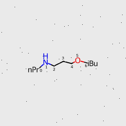 CCCNCCCOC(C)CC